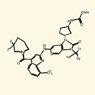 [2H]C([2H])([2H])n1c(=O)n([C@@H]2CC[C@@H](NC(=O)OC)C2)c2cc(Nc3cc(C(=O)N4CCCC(F)(F)C4)c4cccc(C(F)(F)F)c4n3)ncc21